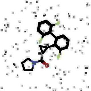 O=C([C@@H]1C[C@H]1c1c(F)cccc1-c1c(F)cccc1F)N1CCCC1